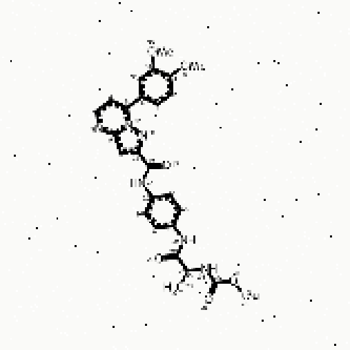 COc1ccc(-c2ccnc3cc(C(=O)Nc4ccc(NC(=O)[C@H](C)NC(=O)OC(C)(C)C)cc4)nn23)cc1OC